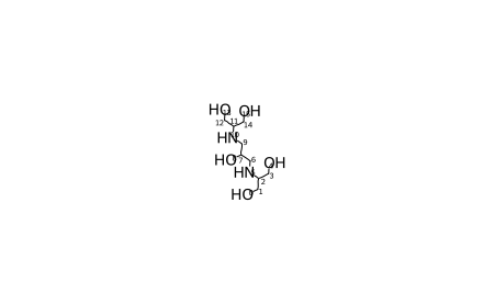 OCC(CO)NCC(O)CNC(CO)CO